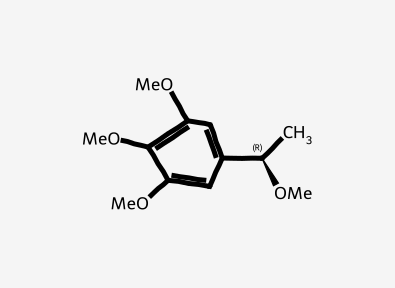 COc1cc([C@@H](C)OC)cc(OC)c1OC